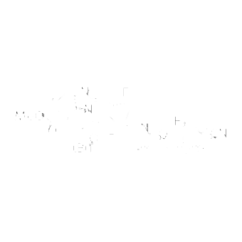 COC(=O)c1ccc2nc(Cc3cc(F)c(-c4cccc(OCc5ccc(C#N)cc5F)n4)cc3F)n(CCOC(C)(C)C)c2c1